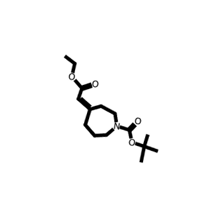 CCOC(=O)C=C1CCCN(C(=O)OC(C)(C)C)CC1